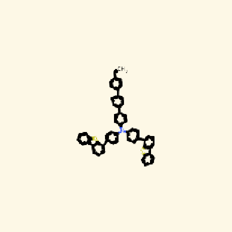 C=Cc1ccc(-c2ccc(-c3ccc(N(c4ccc(-c5cccc6c5sc5ccccc56)cc4)c4ccc(-c5cccc6c5sc5ccccc56)cc4)cc3)cc2)cc1